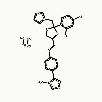 Cn1cncc1-c1ccc(OCC2COC(Cn3ccnc3)(c3ccc(Cl)cc3Cl)O2)cc1.O=[N+]([O-])O.O=[N+]([O-])O